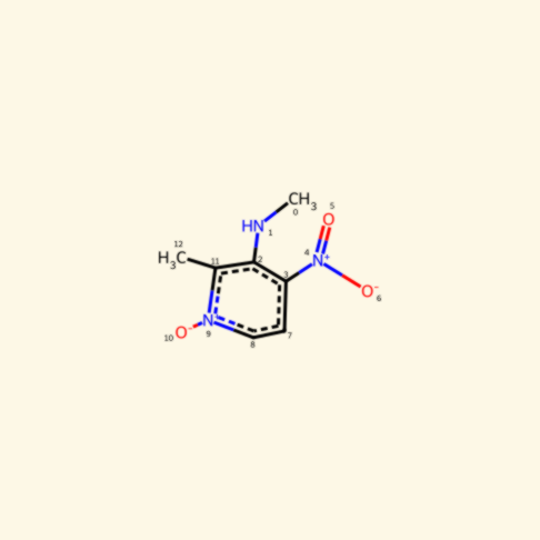 CNc1c([N+](=O)[O-])cc[n+]([O-])c1C